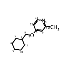 Cc1cc(OCC2CCCCC2)ccn1